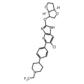 FC(F)(F)CN1CCC(c2ccc(-c3nc4nc(OC5CO[C@@H]6CCO[C@H]56)[nH]c4cc3Cl)cc2)CC1